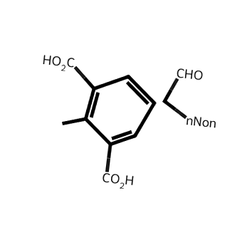 CCCCCCCCCCC=O.Cc1c(C(=O)O)cccc1C(=O)O